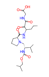 CCCC(NC(=O)[C@@H]1CCCN1C[C@@H](NC(=O)OCC(C)C)C(C)C)C(=O)C(=O)NCC(=O)O